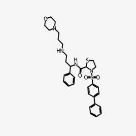 O=C(NC(CCNCCCN1CCOCC1)c1ccccc1)C1SCCN1S(=O)(=O)c1ccc(-c2ccccc2)cc1